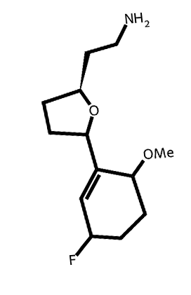 COC1CCC(F)C=C1C1CC[C@@H](CCN)O1